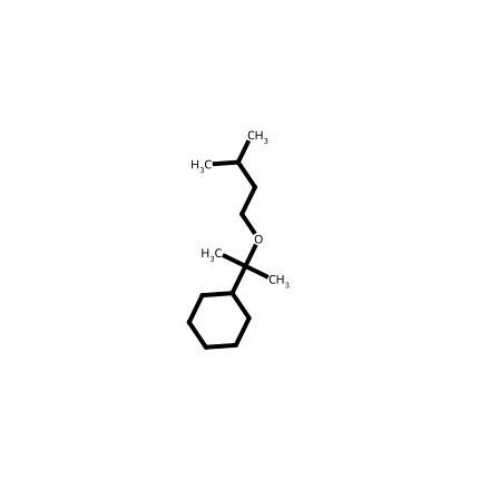 CC(C)CCOC(C)(C)C1CCCCC1